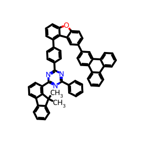 CC1(C)c2ccccc2-c2cccc(-c3nc(-c4ccccc4)nc(-c4ccc(-c5cccc6oc7ccc(-c8ccc9c%10ccccc%10c%10ccccc%10c9c8)cc7c56)cc4)n3)c21